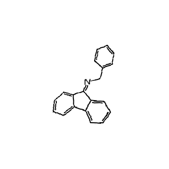 c1ccc(CN=C2c3ccccc3-c3ccccc32)cc1